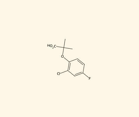 CC(C)(Oc1ccc(F)cc1Cl)C(=O)O